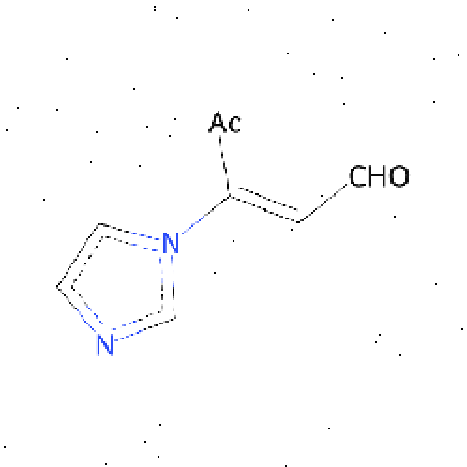 CC(=O)/C(=C\C=O)n1ccnc1